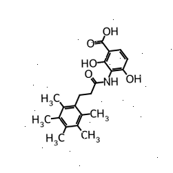 Cc1c(C)c(C)c(CCC(=O)Nc2c(O)ccc(C(=O)O)c2O)c(C)c1C